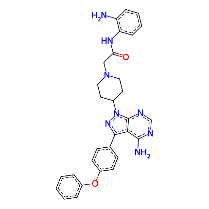 Nc1ccccc1NC(=O)CN1CCC(n2nc(-c3ccc(Oc4ccccc4)cc3)c3c(N)ncnc32)CC1